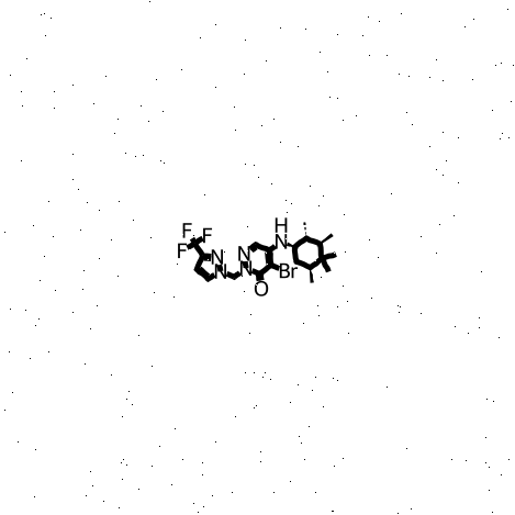 C[C@@H]1[C@@H](C)C(C)(C)[C@@H](C)C[C@H]1Nc1cnn(Cn2ccc(C(F)(F)F)n2)c(=O)c1Br